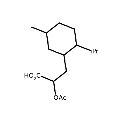 CC(=O)OC(CC1CC(C)CCC1C(C)C)C(=O)O